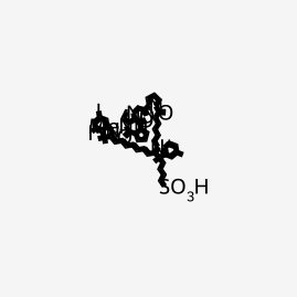 CNC(=O)C1CCCN1C(=O)C1CCCN1CC(=O)C1CCCN1C(=O)CCCCC[N+]1=C(/C=C/C=C/C=C/C=C2\N(C)c3cc(I)cc(I)c3C2(C)C)C(C)(CCCCS(=O)(=O)O)c2cc(C)ccc21